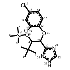 CC(C)(C)C(O[Si](C)(C)C)C(Oc1ccc(Cl)cc1Cl)c1nc[nH]n1